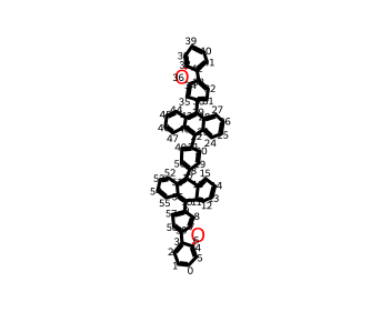 c1ccc2c(c1)oc1cc(-c3c4ccccc4c(-c4ccc(-c5c6ccccc6c(-c6ccc7c(c6)oc6ccccc67)c6ccccc56)cc4)c4ccccc34)ccc12